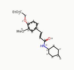 CCOC(=O)COc1ccc(C=CC(=O)NC2CCC(C)CC2)cc1OC